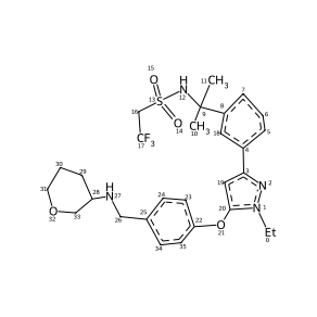 CCn1nc(-c2cccc(C(C)(C)NS(=O)(=O)CC(F)(F)F)c2)cc1Oc1ccc(CNC2CCCOC2)cc1